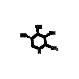 CC1NC[C@H](O)[C@@H](O)[C@H]1O